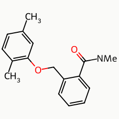 CNC(=O)c1ccccc1COc1cc(C)ccc1C